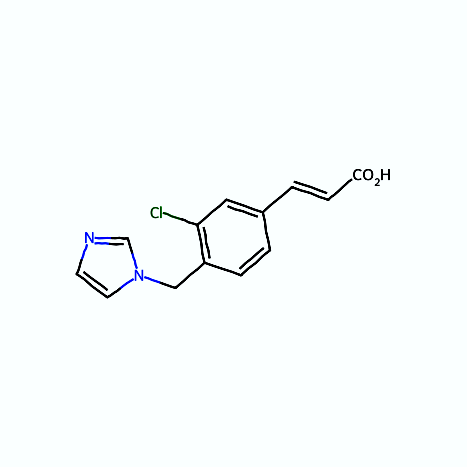 O=C(O)C=Cc1ccc(Cn2ccnc2)c(Cl)c1